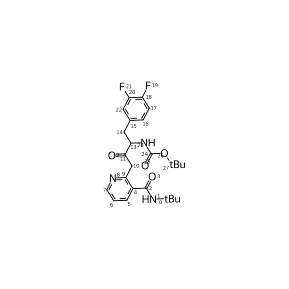 CC(C)(C)NC(=O)c1cccnc1CC(=O)C(Cc1ccc(F)c(F)c1)NC(=O)OC(C)(C)C